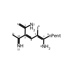 C=C(N)/C(=C\C(I)=C(/N)CCCCC)C(C)=N